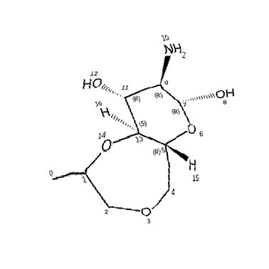 CC1COC[C@H]2O[C@@H](O)[C@H](N)[C@@H](O)[C@@H]2O1